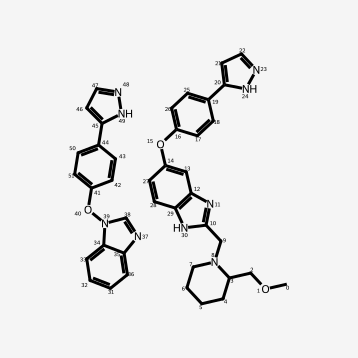 COCC1CCCCN1Cc1nc2cc(Oc3ccc(-c4ccn[nH]4)cc3)ccc2[nH]1.c1ccc2c(c1)ncn2Oc1ccc(-c2ccn[nH]2)cc1